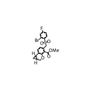 COC(=O)c1c(CS(=O)(=O)c2ccc(F)cc2Br)ccc2c1OC[C@H]1C[C@@H]21